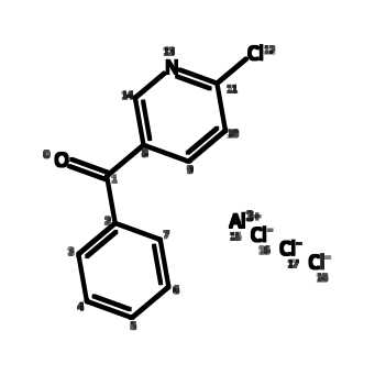 O=C(c1ccccc1)c1ccc(Cl)nc1.[Al+3].[Cl-].[Cl-].[Cl-]